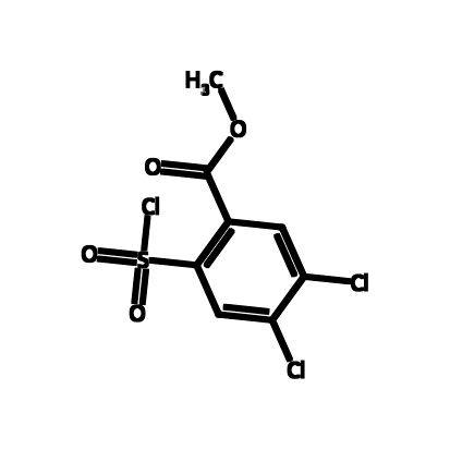 COC(=O)c1cc(Cl)c(Cl)cc1S(=O)(=O)Cl